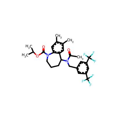 CC(=O)N(Cc1cc(C(F)(F)F)cc(C(F)(F)F)c1)C1CCCN(C(=O)OC(C)C)c2cc(C)c(C)cc21